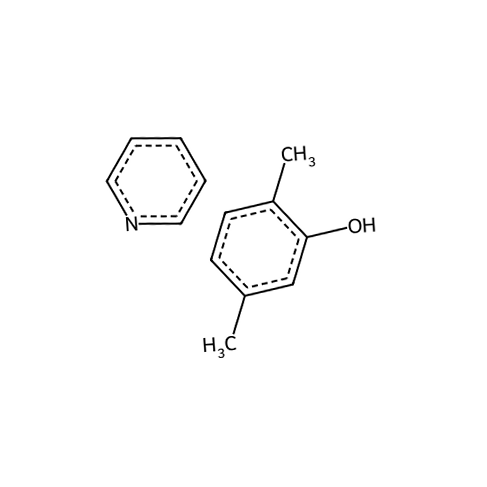 Cc1ccc(C)c(O)c1.c1ccncc1